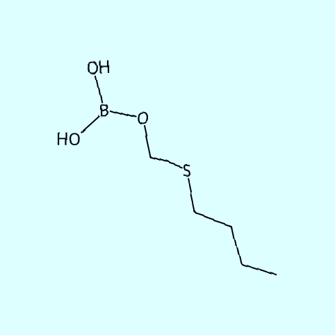 CCCCSCOB(O)O